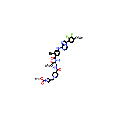 CCc1cc(Nc2nccn3c(-c4ccc(OC)c(F)c4F)cnc23)ccc1C(=O)N[C@@H](CNC(=O)C1CCN(CC2CN(C(=O)OC(C)(C)C)C2)CC1)C(=O)OC